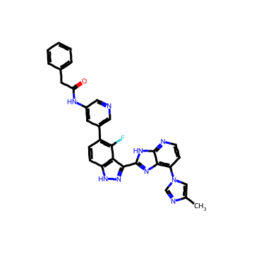 Cc1cn(-c2ccnc3[nH]c(-c4n[nH]c5ccc(-c6cncc(NC(=O)Cc7ccccc7)c6)c(F)c45)nc23)cn1